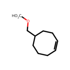 O=C(O)OCC1CCC=CCCC1